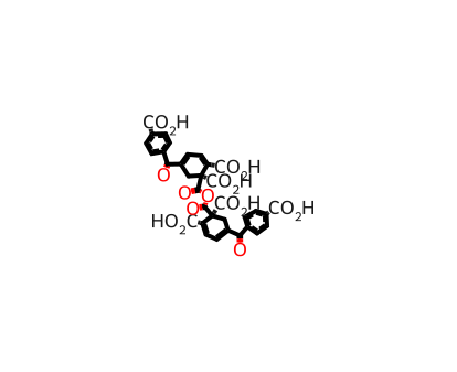 O=C(O)C1=CC=C(C(=O)c2ccc(C(=O)O)cc2)CC1(C(=O)O)C(=O)OC(=O)C1(C(=O)O)CC(C(=O)c2ccc(C(=O)O)cc2)=CC=C1C(=O)O